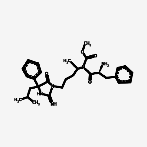 COC(=O)N(C(=O)[C@@H](N)Cc1ccccc1)C(C)CCCN1C(=N)NC(CC(C)C)(c2ccccc2)C1=O